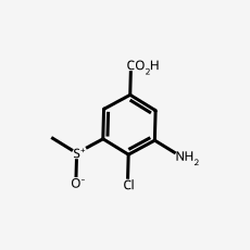 C[S+]([O-])c1cc(C(=O)O)cc(N)c1Cl